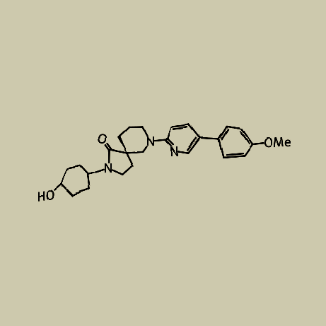 COc1ccc(-c2ccc(N3CCC[C@]4(CCN(C5CCC(O)CC5)C4=O)C3)nc2)cc1